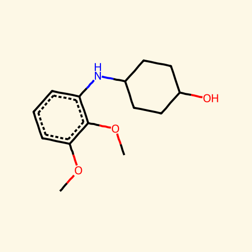 COc1cccc(NC2CCC(O)CC2)c1OC